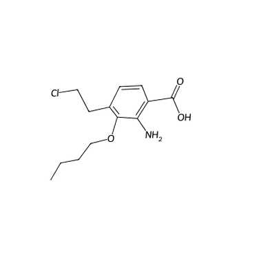 CCCCOc1c(CCCl)ccc(C(=O)O)c1N